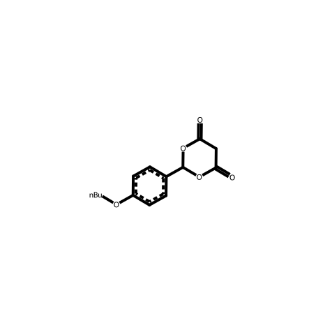 CCCCOc1ccc(C2OC(=O)CC(=O)O2)cc1